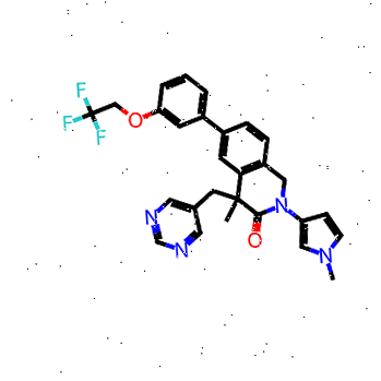 Cn1ccc(N2Cc3ccc(-c4cccc(OCC(F)(F)F)c4)cc3C(C)(Cc3cncnc3)C2=O)c1